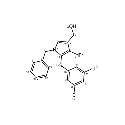 CC(C)c1c(CO)cn(Cc2ccncc2)c1Sc1cc(Cl)cc(Cl)c1